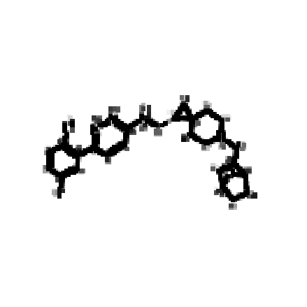 Fc1ccc(Cl)c(-c2ccc(NC[C@@H]3CC34CCN(CC3CC5CCC3O5)CC4)nn2)c1